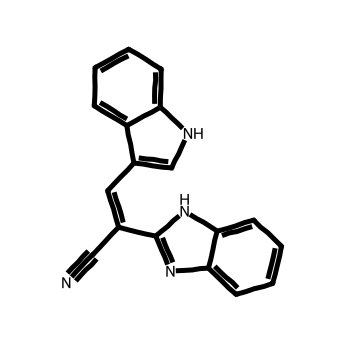 N#CC(=Cc1c[nH]c2ccccc12)c1nc2ccccc2[nH]1